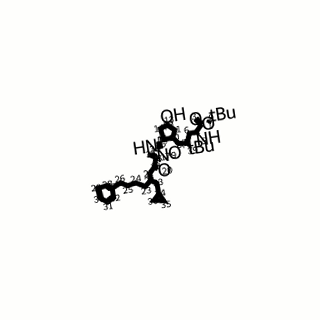 CC(C)(C)OC(=O)C(=N)C[C@H](C(=O)C1C[C@H](O)C[C@H]1c1nc(C(=O)CC(CCCCc2ccccc2)CC2CC2)c[nH]1)C(C)(C)C